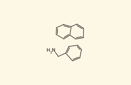 NCc1ccccc1.c1ccc2ccccc2c1